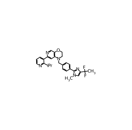 CC(C)c1ncccc1-c1cc2c(cn1)OCCN2Cc1ccc(-c2nc(C(C)(F)F)cn2C)cc1